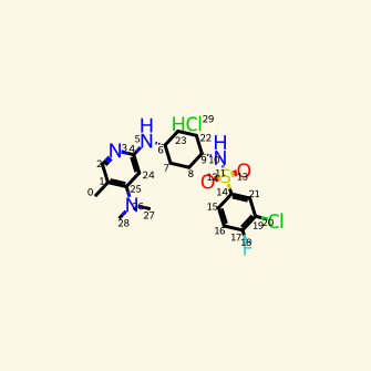 Cc1cnc(N[C@H]2CC[C@@H](NS(=O)(=O)c3ccc(F)c(Cl)c3)CC2)cc1N(C)C.Cl